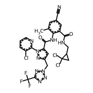 Cc1cc(C#N)cc(C(=O)NCC2CC2(Cl)Cl)c1NC(=O)c1cc(Cn2nnc(C(F)(F)F)n2)nn1-c1ncccc1Cl